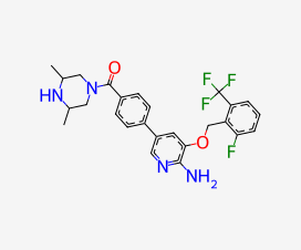 CC1CN(C(=O)c2ccc(-c3cnc(N)c(OCc4c(F)cccc4C(F)(F)F)c3)cc2)CC(C)N1